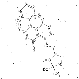 CC1(C)OCC(COc2ncc(Cl)c3c2c(=O)cc(CO)n3-c2c(Cl)cccc2Cl)O1